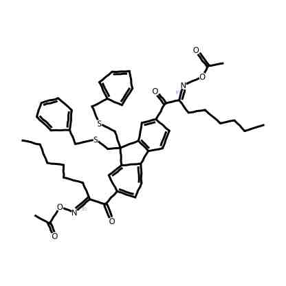 CCCCCC/C(=N\OC(C)=O)C(=O)c1ccc2c(c1)C(CSCc1ccccc1)(CSCc1ccccc1)c1cc(C(=O)/C(CCCCCC)=N/OC(C)=O)ccc1-2